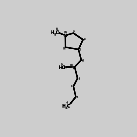 CCCC[C@@H](O)CC1CCN(C)C1